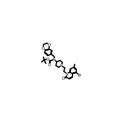 Cc1cc(Br)c2ccc(=O)n(CCN3CCC(N(Cc4ccc5c(c4)OCCO5)C(=O)OC(C)(C)C)CC3)c2c1